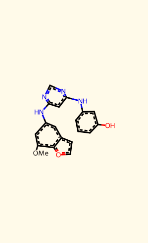 COc1cc(Nc2cc(Nc3cccc(O)c3)ncn2)cc2ccoc12